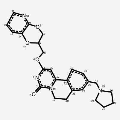 O=c1nc(OCC2COc3ncccc3O2)cc2n1CCc1cc(CN3CCCC3)ccc1-2